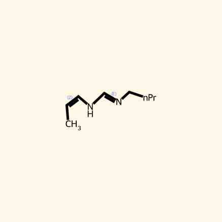 C/C=C\N/C=N/CCCC